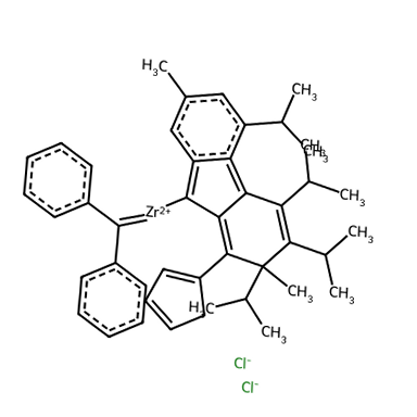 Cc1cc(C(C)C)c2c(c1)=[C]([Zr+2]=[C](c1ccccc1)c1ccccc1)C1=C(C3=CC=CC3)C(C)(C(C)C)C(C(C)C)=C(C(C)C)C=21.[Cl-].[Cl-]